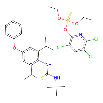 CC(C)c1cc(Oc2ccccc2)cc(C(C)C)c1NC(=S)NC(C)(C)C.CCOP(=S)(OCC)Oc1nc(Cl)c(Cl)cc1Cl